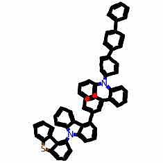 c1ccc(-c2ccc(-c3ccc(N(c4ccccc4)c4ccccc4-c4cccc(-c5cccc6c5c5ccccc5n6-c5cccc6sc7ccccc7c56)c4)cc3)cc2)cc1